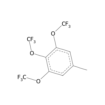 Cc1cc(OC(F)(F)F)c(OC(F)(F)F)c(OC(F)(F)F)c1